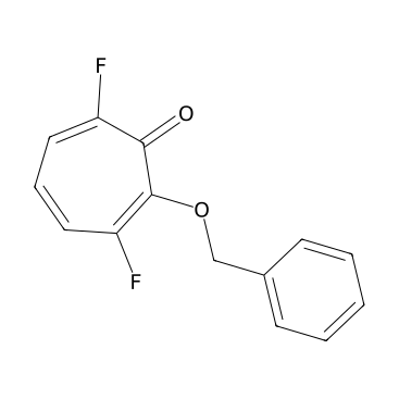 O=c1c(F)cccc(F)c1OCc1ccccc1